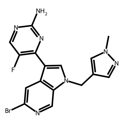 Cn1cc(Cn2cc(-c3nc(N)ncc3F)c3cc(Br)ncc32)cn1